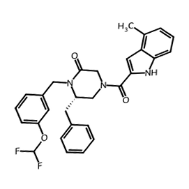 Cc1cccc2[nH]c(C(=O)N3CC(=O)N(Cc4cccc(OC(F)F)c4)[C@@H](Cc4ccccc4)C3)cc12